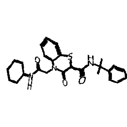 CC(C)(NC(=O)C1Sc2ccccc2N(CC(=O)NC2CCCCC2)C1=O)c1ccccc1